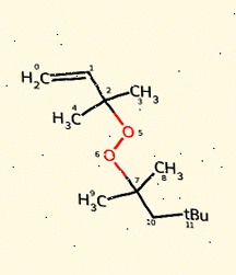 C=CC(C)(C)OOC(C)(C)CC(C)(C)C